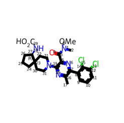 CON(C)C(=O)c1nc(-c2cccc(Cl)c2Cl)c(C)nc1N1CCC2(CCC[C@H]2NC(=O)O)CC1